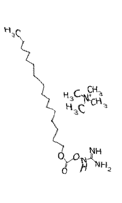 CCCCCCCCCCCCCCCCOC(=O)ONC(=N)N.C[N+](C)(C)C